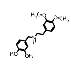 COc1ccc(CCNCc2ccc(O)c(O)c2)cc1OC